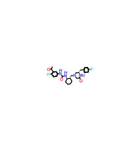 CC(=O)c1cc(NC(=O)N[C@@H]2CCCC[C@H]2CN2CC(=O)N[C@@H](Cc3ccc(F)cc3)C2)ccc1F